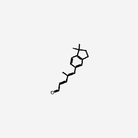 CC(/C=C/C=O)=C\c1ccc2c(c1)CCC2(C)C